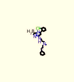 Bc1cnn2c(NCCCN(C)C/C=C/c3ccccc3)cc(-c3ccccc3Cl)nc12